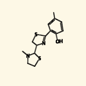 Cc1ccc(O)c(C2=NC(C3SCCN3C)CS2)c1